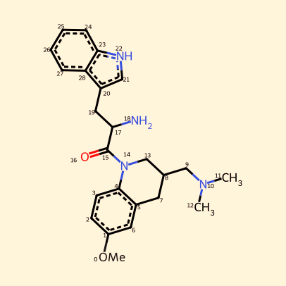 COc1ccc2c(c1)CC(CN(C)C)CN2C(=O)C(N)Cc1c[nH]c2ccccc12